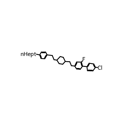 CCCCCCCc1ccc(CCC2CCC(CCc3ccc(-c4ccc(Cl)cc4)c(F)c3)CC2)cc1